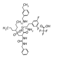 CCCC(CCC)S(=O)(=O)CC(NC(=O)NCc1ccccc1)C(=O)O[C@H](CNCc1cccc(CC)c1)[C@@H](N)Cc1cc(F)cc(F)c1.O=C(O)C(F)(F)F